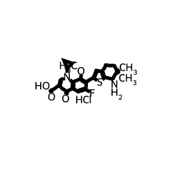 COc1c(-c2cc3c(s2)C(N)C(C)(C)CC3)c(F)cc2c(=O)c(C(=O)O)cn(C3CC3)c12.Cl